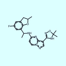 CC1Cc2cc(F)cc(C(C)Nc3ccn4ncc(C5=NOC(C)(C)N5)c4n3)c2O1